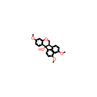 COc1ccc(C2COc3cc(OC)ccc3C2(O)c2ccc(OC)cc2)cc1